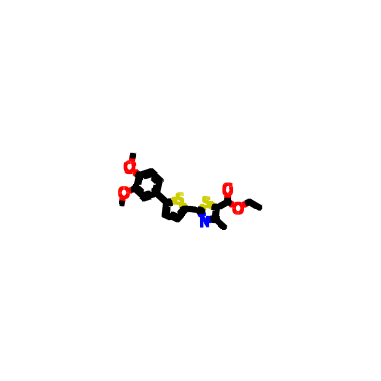 CCOC(=O)c1sc(-c2ccc(-c3ccc(OC)c(OC)c3)s2)nc1C